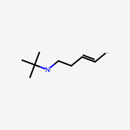 [CH2]C=CCC[N]C(C)(C)C